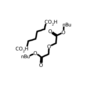 CCCCOC(=O)COCC(=O)OCCCC.O=C(O)CCCCC(=O)O